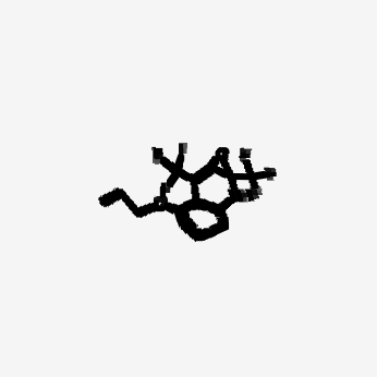 CCCOc1cccc2c1C(C(F)(F)F)=C1OC1(C(F)(F)F)N2